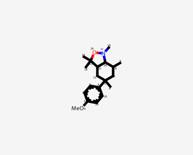 COc1ccc(C2(C)CC(C)C3C(C2)C(C)(C)ON3C)cc1